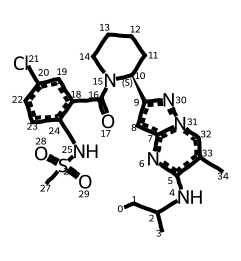 CCC(C)Nc1nc2cc([C@@H]3CCCCN3C(=O)c3cc(Cl)ccc3NS(C)(=O)=O)nn2cc1C